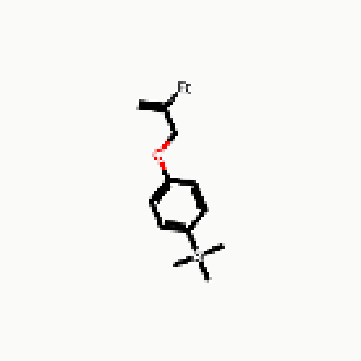 C=C(CC)COc1ccc([Si](C)(C)C)cc1